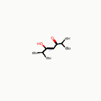 CC(C)(C)C(C(=O)/C=C(\O)C(C(C)(C)C)C(C)(C)C)C(C)(C)C